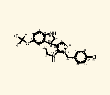 FC(F)(F)Oc1ccc2c(c1)[C@@]1(CCNc3c1cnn3Cc1ccc(Cl)cc1)CN2